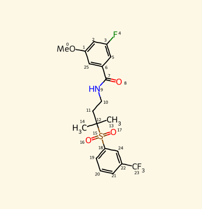 COc1cc(F)cc(C(=O)NCCC(C)(C)S(=O)(=O)c2cccc(C(F)(F)F)c2)c1